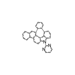 c1cnc(-n2c3cccc4c3c3c5c(cc6ccccc6c5ccc32)-c2ccccc2-4)nc1